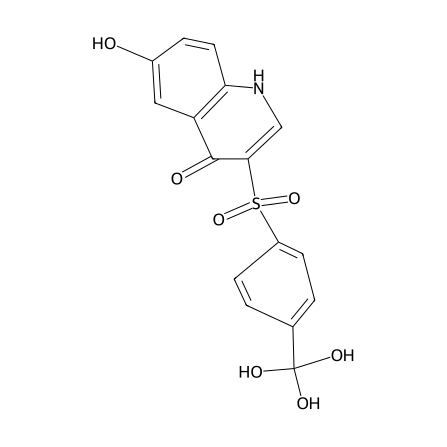 O=c1c(S(=O)(=O)c2ccc(C(O)(O)O)cc2)c[nH]c2ccc(O)cc12